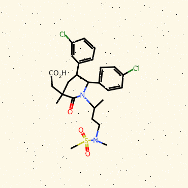 CC(CCN(C)S(C)(=O)=O)N1C(=O)C(C)(CC(=O)O)CC(c2cccc(Cl)c2)C1c1ccc(Cl)cc1